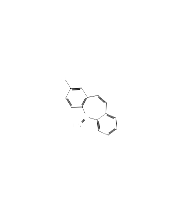 Cl.N=S1c2ccccc2C=Cc2cc(Cl)ccc21